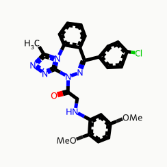 COc1ccc(OC)c(NCC(=O)N2N=C(c3ccc(Cl)cc3)c3ccccc3-n3c(C)nnc32)c1